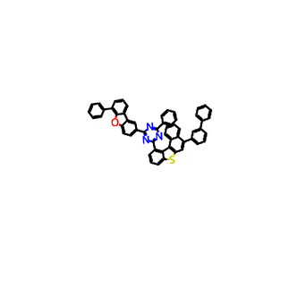 c1ccc(-c2cccc(-c3cc4sc5cccc(-c6nc(-c7ccccc7)nc(-c7ccc8oc9c(-c%10ccccc%10)cccc9c8c7)n6)c5c4c4ccccc34)c2)cc1